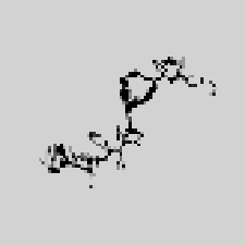 Cc1cc(-c2cccc(-c3csc(NC(=O)CNC(=O)c4cc[nH]c4)n3)c2)ncn1